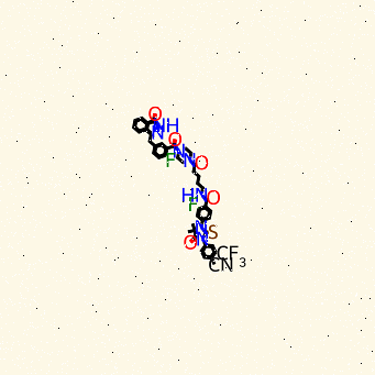 CC1(C)C(=O)N(c2ccc(C#N)c(C(F)(F)F)c2)C(=S)N1c1ccc(C(=O)NCCCCC(=O)N2CCN(C(=O)c3cc(Cc4n[nH]c(=O)c5ccccc45)ccc3F)CC2)c(F)c1